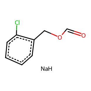 O=COCc1ccccc1Cl.[NaH]